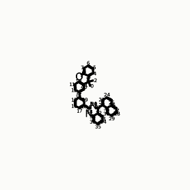 CC1(C)c2ccccc2Oc2ccc(-c3cccc(-c4nc(-c5cccc6ccccc56)c5ccccc5n4)c3)cc21